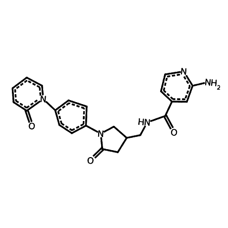 Nc1cc(C(=O)NCC2CC(=O)N(c3ccc(-n4ccccc4=O)cc3)C2)ccn1